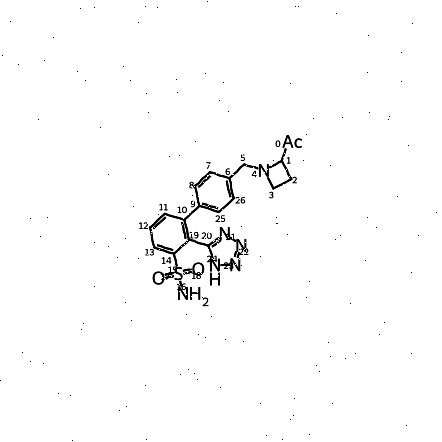 CC(=O)C1CCN1Cc1ccc(-c2cccc(S(N)(=O)=O)c2-c2nnn[nH]2)cc1